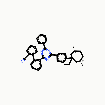 CCC1(c2ccc(-c3nc(-c4ccccc4)nc(-c4ccccc4-c4ccccc4C#N)n3)cc2)C[C@H](C)CC[C@H](C)C1